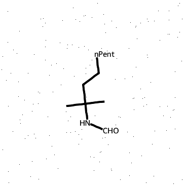 CCCCCCCC(C)(C)NC=O